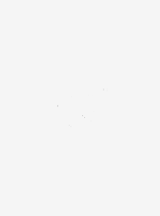 NCO.NCO.O=[PH](O)O